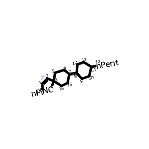 CCC/C=C\C1(C#N)CCC(C2CCC(CCCCC)CC2)CC1